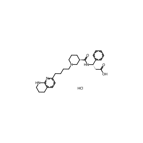 Cl.O=C(O)C[C@H](NC(=O)[C@@H]1CCCN(CCCCc2ccc3c(n2)NCCC3)C1)c1ccccc1